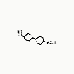 CCCCCCCC[C@H]1CC[C@H]([C@H]2CC[C@H](OCC)CC2)CC1